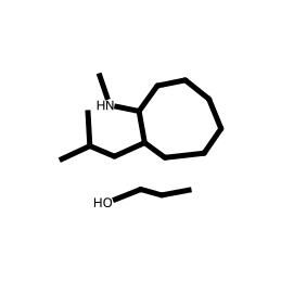 CCCO.CNC1CCCCCCC1CC(C)C